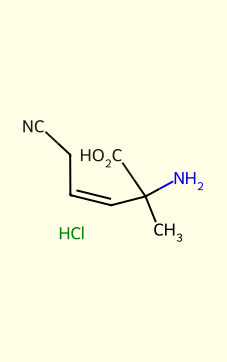 CC(N)(/C=C\CC#N)C(=O)O.Cl